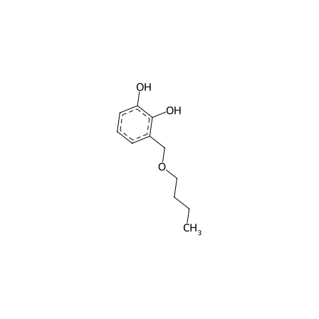 CCCCOCc1cccc(O)c1O